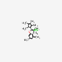 CC1=C(C)C(C)[C]([Ti]([O]c2cc(C)cc(C)c2)=[C](C)C)=C1[SiH3].Cl.Cl